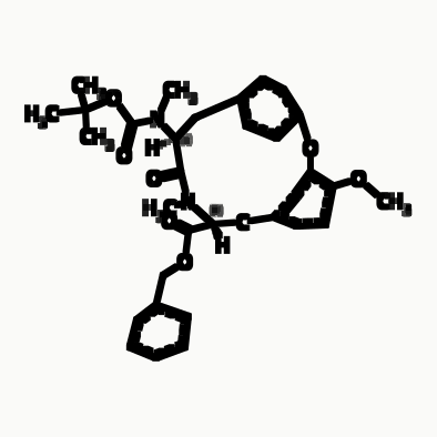 COc1ccc2cc1Oc1ccc(cc1)C[C@H](N(C)C(=O)OC(C)(C)C)C(=O)N(C)[C@@H](C(=O)OCc1ccccc1)C2